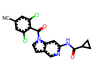 N#Cc1cc(Cl)c(C(=O)n2ccc3cnc(NC(=O)C4CC4)cc32)c(Cl)c1